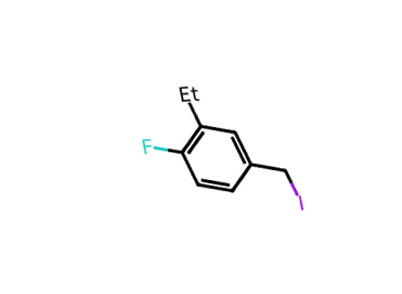 CCc1cc(CI)ccc1F